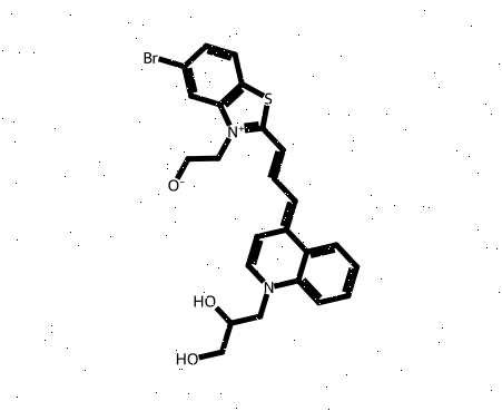 [O-]CC[n+]1c(/C=C/C=C2\C=CN(CC(O)CO)c3ccccc32)sc2ccc(Br)cc21